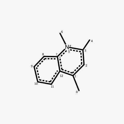 Cc1cc(C)[n+](C)c2ccccc12